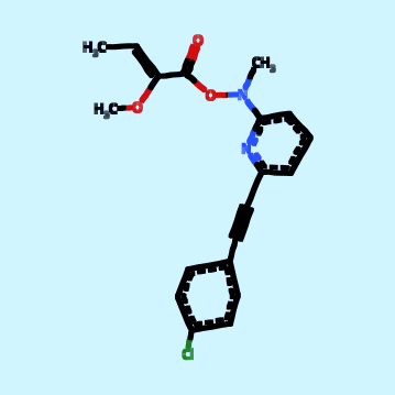 CC=C(OC)C(=O)ON(C)c1cccc(C#Cc2ccc(Cl)cc2)n1